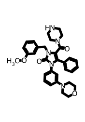 COc1cccc(Cn2c(C(=O)N3CCNCC3)c(-c3ccccc3)n(-c3cccc(N4CCOCC4)c3)c2=O)c1